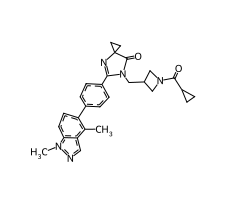 Cc1c(-c2ccc(C3=NC4(CC4)C(=O)N3CC3CN(C(=O)C4CC4)C3)cc2)ccc2c1cnn2C